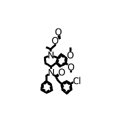 COc1cc2c(cc1OC)N(C(C)COC=O)CCC2N(Cc1ccccc1)C(=O)Cc1cccc(Cl)c1